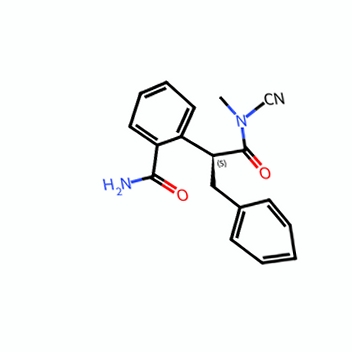 CN(C#N)C(=O)[C@@H](Cc1ccccc1)c1ccccc1C(N)=O